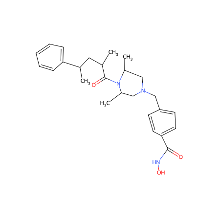 CC(CC(C)c1ccccc1)C(=O)N1C(C)CN(Cc2ccc(C(=O)NO)cc2)CC1C